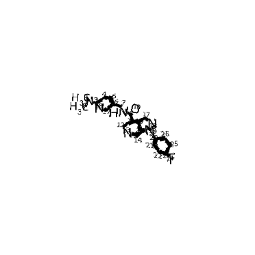 CN(C)c1ccc(CNC(=O)c2cncc3c2cnn3-c2ccc(F)cc2)cn1